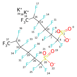 O=S(=O)([O-])C(F)(F)C(F)(F)C(F)(F)C(F)(F)C(F)C(F)(F)F.O=S(=O)([O-])C(F)(F)C(F)(F)C(F)(F)C(F)(F)C(F)C(F)(F)F.[K+].[K+]